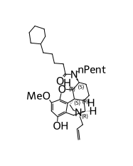 C=CCN1CC[C@]23c4c5c(O)cc(OC)c4O[C@H]2[C@@H](N(CCCCC)C(=O)CCCCC2CCCCC2)CC[C@H]3[C@H]1C5